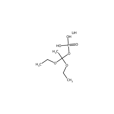 CCOC(C)(OCC)OP(=O)(O)O.[LiH]